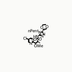 CCCCCn1c(NS(=O)(=O)[C@@H](C)[C@H](OC)c2ncc(Cl)cn2)nnc1[C@@H]1COCCO1